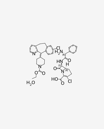 CCOC(=O)N1CCC(=C2c3ccc(Cl)cc3CCc3cccnc32)CC1.N[C@@H](C(=O)N[C@@H]1C(=O)N2C(C(=O)O)=C(Cl)CC[C@H]12)c1ccccc1.O